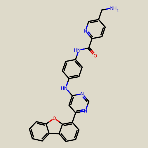 NCc1ccc(C(=O)Nc2ccc(Nc3cc(-c4cccc5c4oc4ccccc45)ncn3)cc2)nc1